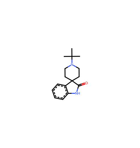 CC(C)(C)N1CCC2(CC1)C(=O)Nc1ccccc12